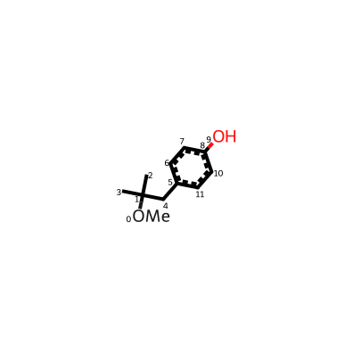 COC(C)(C)Cc1ccc(O)cc1